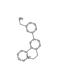 CC(C)Cc1cccc(-c2ccc3c(c2)-c2cccc[n+]2CC3)c1